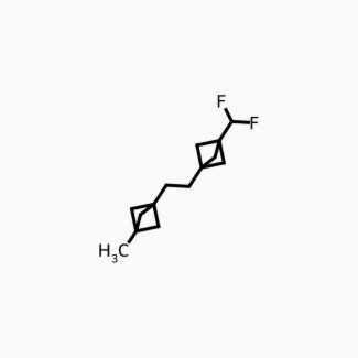 CC12CC(CCC34CC(C(F)F)(C3)C4)(C1)C2